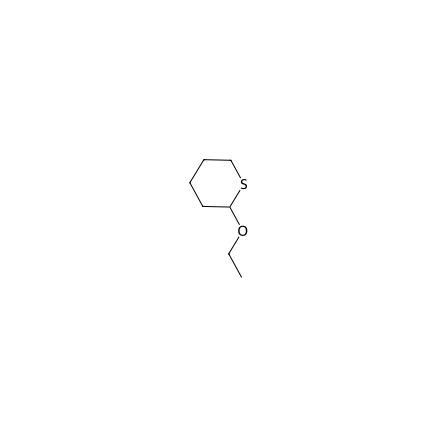 CCOC1CCCCS1